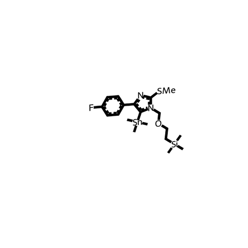 CSc1nc(-c2ccc(F)cc2)[c]([Sn]([CH3])([CH3])[CH3])n1COCC[Si](C)(C)C